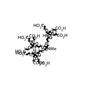 CNC(COCCC(=O)NC(COCCC(=O)O)(COCCC(=O)O)COCCC(=O)O)(COCCC(=O)NC(COCCC(=O)O)(COCCC(=O)O)COCCC(=O)O)COCCC(=O)NC(COCCC(=O)O)(COCCC(=O)O)COCC(=O)O